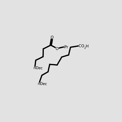 CCCCCCCCCCCCCC(=O)OC(C)C.CCCCCCCCCCCCCCCCCC(=O)O